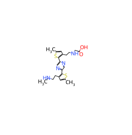 CNCCc1cc(C)sc1-c1cnc(-c2sc(C)cc2CCNCC(=O)O)cn1